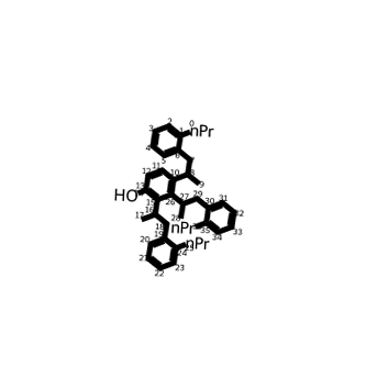 CCCc1ccccc1CC(C)c1ccc(O)c(C(C)Cc2ccccc2CCC)c1C(C)Cc1ccccc1CCC